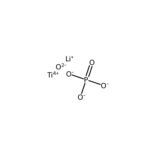 O=P([O-])([O-])[O-].[Li+].[O-2].[Ti+4]